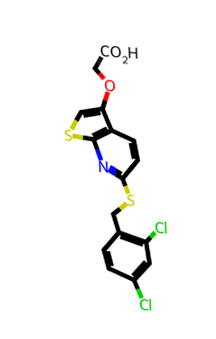 O=C(O)COc1csc2nc(SCc3ccc(Cl)cc3Cl)ccc12